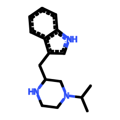 CC(C)N1CCNC(Cc2c[nH]c3ccccc23)C1